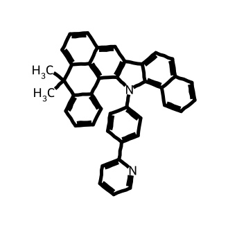 CC1(C)c2ccccc2-c2c3c1cccc3cc1c3ccc4ccccc4c3n(-c3ccc(-c4ccccn4)cc3)c21